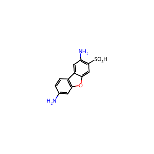 Nc1ccc2c(c1)oc1cc(S(=O)(=O)O)c(N)cc12